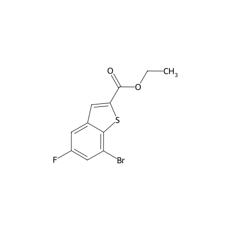 CCOC(=O)c1cc2cc(F)cc(Br)c2s1